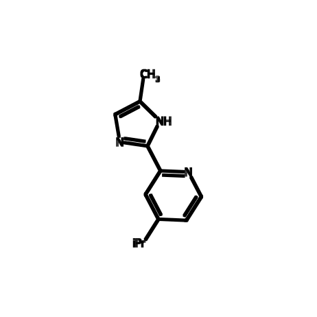 Cc1cnc(-c2cc(C(C)C)ccn2)[nH]1